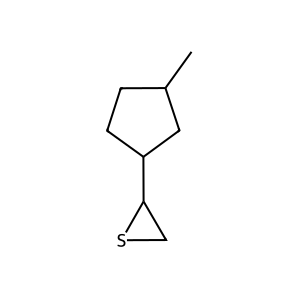 CC1CCC(C2CS2)C1